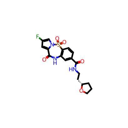 O=C(NCC[C@@H]1CCCO1)c1ccc2c(c1)NC(=O)c1cc(F)cn1S2(=O)=O